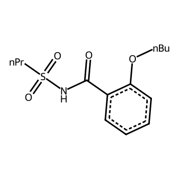 CCCCOc1ccccc1C(=O)NS(=O)(=O)CCC